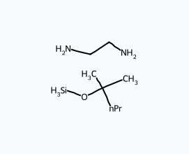 CCCC(C)(C)O[SiH3].NCCN